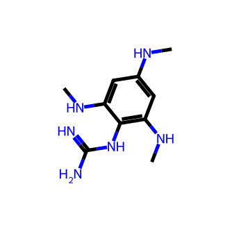 CNc1cc(NC)c(NC(=N)N)c(NC)c1